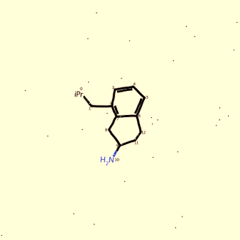 CC(C)Cc1cccc2c1CC(N)CC2